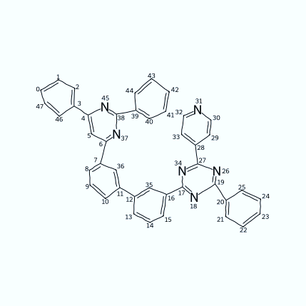 c1ccc(-c2cc(-c3cccc(-c4cccc(-c5nc(-c6ccccc6)nc(-c6ccncc6)n5)c4)c3)nc(-c3ccccc3)n2)cc1